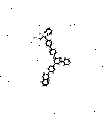 CCC1Nc2ccccc2N1c1ccc(-c2ccc(C3=NC(c4ccc(-c5ccc6ccccc6c5)cc4)=CC(c4ccccc4)N3)cc2)cc1